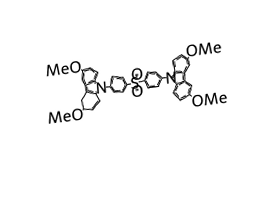 COc1ccc2c(c1)c1c(n2-c2ccc(S(=O)(=O)c3ccc(-n4c5ccc(OC)cc5c5cc(OC)ccc54)cc3)cc2)C=CC(OC)C1